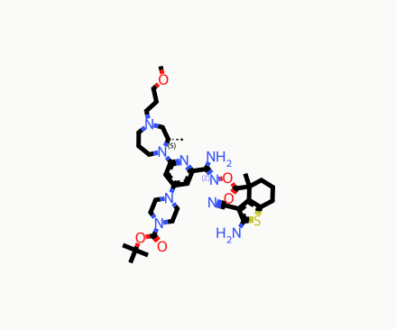 COCCCN1CCCN(c2cc(N3CCN(C(=O)OC(C)(C)C)CC3)cc(/C(N)=N/OC(=O)C3(C)CCCc4sc(N)c(C#N)c43)n2)[C@@H](C)C1